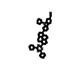 N#Cc1ccc2c3ccc(-c4ccc5ccc6c(-c7nc(-c8ccccc8)nc(-c8ccccc8)n7)ccc7ccc4c5c76)cc3n(-c3ccccc3)c2c1